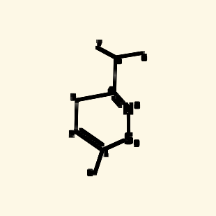 CC1=CCC(C(C)C)=NS1